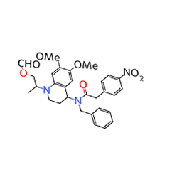 COc1cc2c(cc1OC)N(C(C)COC=O)CCC2N(Cc1ccccc1)C(=O)Cc1ccc([N+](=O)[O-])cc1